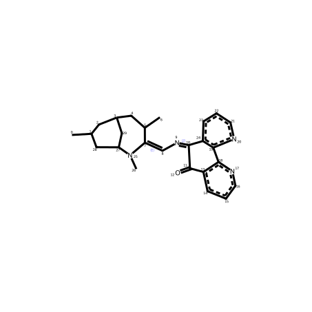 CC1CC2CC(C)/C(=C\N=C3/C(=O)c4cccnc4-c4ncccc43)N(C)C(C1)C2